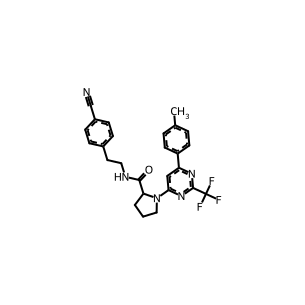 Cc1ccc(-c2cc(N3CCCC3C(=O)NCCc3ccc(C#N)cc3)nc(C(F)(F)F)n2)cc1